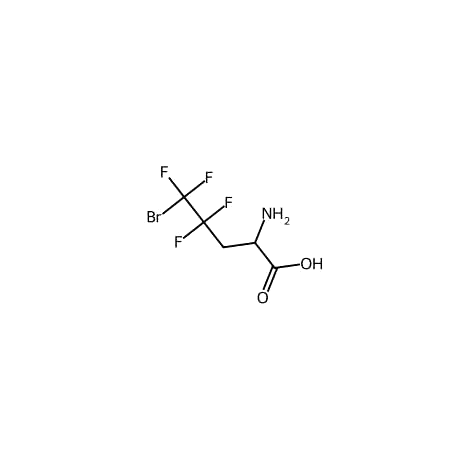 NC(CC(F)(F)C(F)(F)Br)C(=O)O